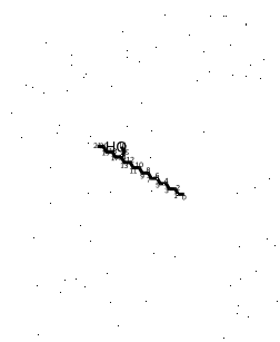 CCCCCCCCCCCCCCC(CO)CCCCC